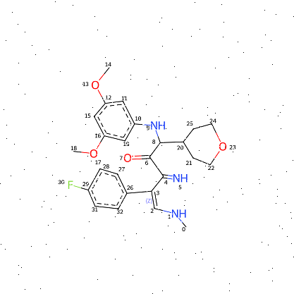 CN/C=C(\C(=N)C(=O)C(Nc1cc(OC)cc(OC)c1)C1CCOCC1)c1ccc(F)cc1